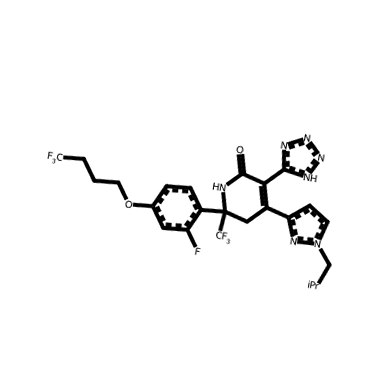 CC(C)Cn1ccc(C2=C(c3nnn[nH]3)C(=O)NC(c3ccc(OCCCC(F)(F)F)cc3F)(C(F)(F)F)C2)n1